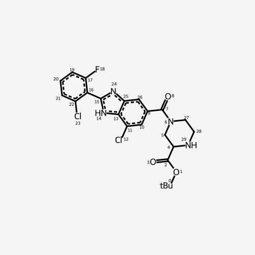 CC(C)(C)OC(=O)C1CN(C(=O)c2cc(Cl)c3[nH]c(-c4c(F)cccc4Cl)nc3c2)CCN1